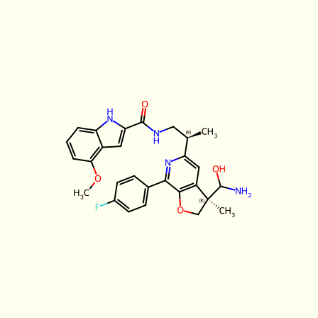 COc1cccc2[nH]c(C(=O)NC[C@@H](C)c3cc4c(c(-c5ccc(F)cc5)n3)OC[C@]4(C)C(N)O)cc12